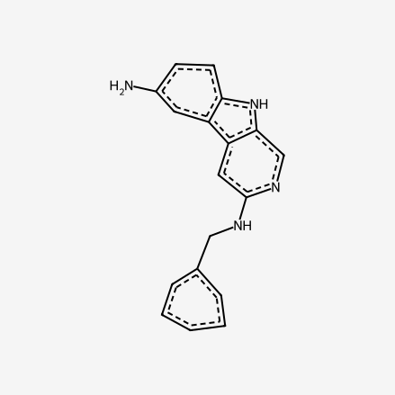 Nc1ccc2[nH]c3cnc(NCc4ccccc4)cc3c2c1